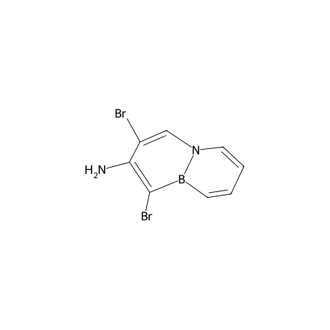 NC1=C(Br)B2C=CC=CN2C=C1Br